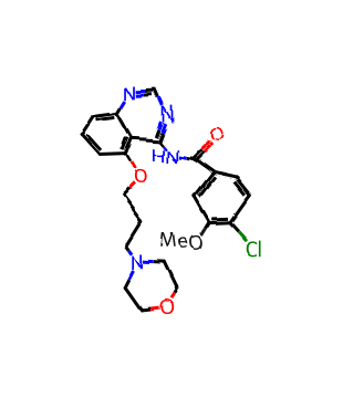 COc1cc(C(=O)Nc2ncnc3cccc(OCCCN4CCOCC4)c23)ccc1Cl